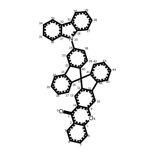 O=c1c2ccccc2oc2cc3c(cc12)C1(c2ccccc2-c2cc(-n4c5ccccc5c5ccccc54)ccc21)c1ccccc1-3